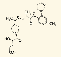 C=C(S/C=C(\C)C(=O)Nc1ccc(C)cc1-c1ccccc1)C1CCN(C(=O)C(O)CCSC)CC1